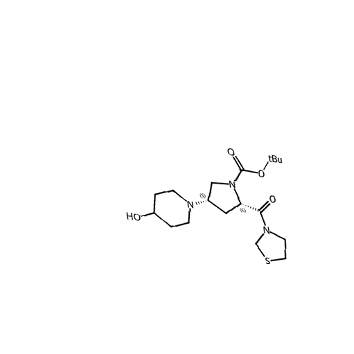 CC(C)(C)OC(=O)N1C[C@@H](N2CCC(O)CC2)C[C@H]1C(=O)N1CCSC1